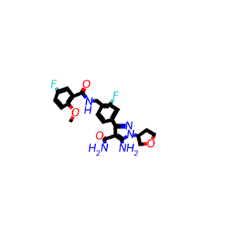 COc1ccc(F)cc1C(=O)NCc1ccc(-c2nn(C3CCOC3)c(N)c2C(N)=O)cc1F